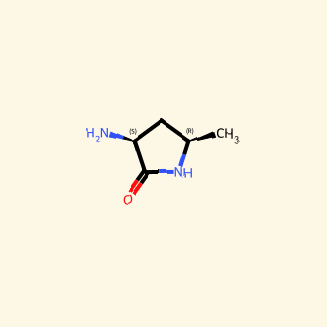 C[C@@H]1C[C@H](N)C(=O)N1